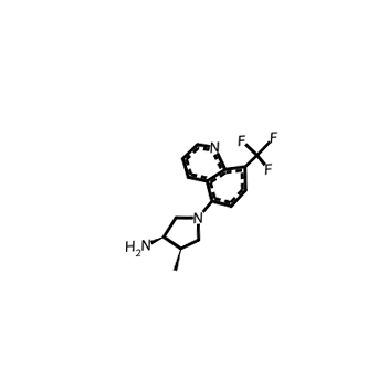 C[C@@H]1CN(c2ccc(C(F)(F)F)c3ncccc23)C[C@@H]1N